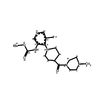 CN1CCN(C(=O)C2CCN(c3c(F)cncc3NC(=O)OC(C)(C)C)CC2)CC1